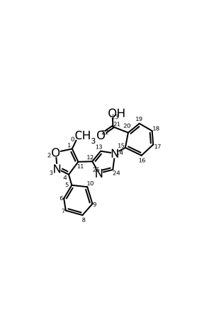 Cc1onc(-c2ccccc2)c1-c1cn(-c2ccccc2C(=O)O)cn1